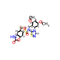 COc1ccc(CN(c2ncns2)S(=O)(=O)c2cc3oc(=O)[nH]c3cc2Br)c(OC)c1